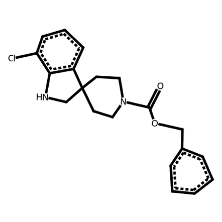 O=C(OCc1ccccc1)N1CCC2(CC1)CNc1c(Cl)cccc12